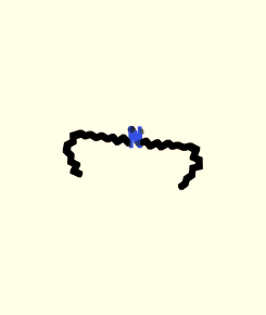 CCCCC/C=C\C/C=C\CCCCCCCCCN(CCCCCCCCC/C=C\C/C=C\CCCCC)N(C)C